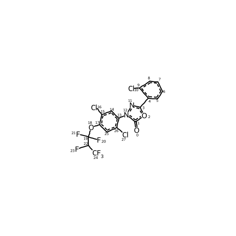 O=c1oc(-c2ccccc2Cl)nn1-c1cc(Cl)c(OC(F)(F)C(F)C(F)(F)F)cc1Cl